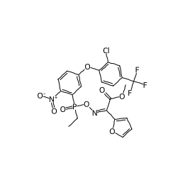 CCP(=O)(ON=C(C(=O)OC)c1ccco1)c1cc(Oc2ccc(C(F)(F)F)cc2Cl)ccc1[N+](=O)[O-]